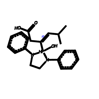 CC(C)/C=C(/CC(=O)O)[PH]1(O)N(c2ccccc2)CCN1c1ccccc1